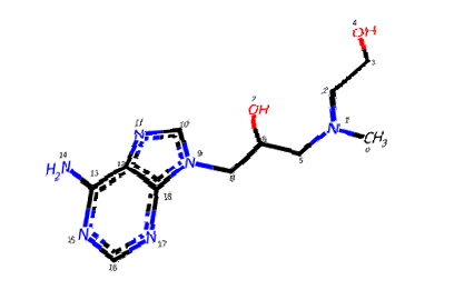 CN(CCO)CC(O)Cn1cnc2c(N)ncnc21